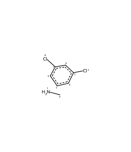 CN.Clc1cccc(Cl)c1